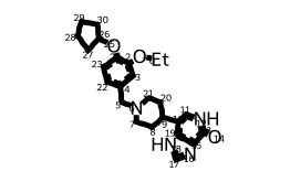 CCOc1cc(CN2CCC(c3c[nH]c(=O)c4nc[nH]c34)CC2)ccc1OC1CCCC1